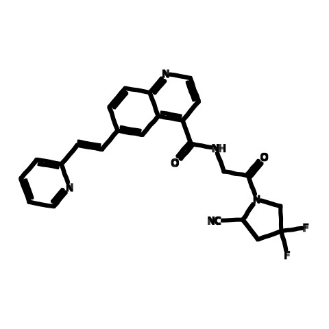 N#CC1CC(F)(F)CN1C(=O)CNC(=O)c1ccnc2ccc(C=Cc3ccccn3)cc12